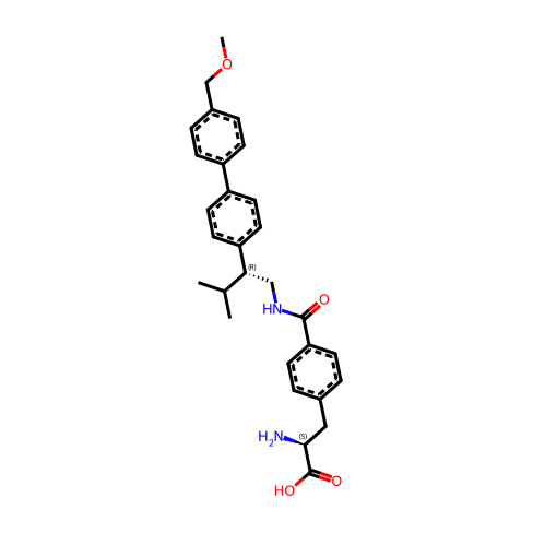 COCc1ccc(-c2ccc([C@H](CNC(=O)c3ccc(C[C@H](N)C(=O)O)cc3)C(C)C)cc2)cc1